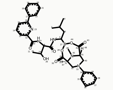 CC(C)CC(NC(=O)C(NC(=O)c1cccc(-c2ccccc2)n1)C(C)O)B1OC(=O)[C@@H]2CN(c3ccccc3)C[C@@H](C(=O)O1)N2C